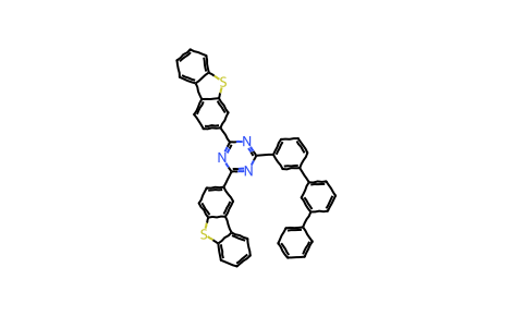 c1ccc(-c2cccc(-c3cccc(-c4nc(-c5ccc6c(c5)sc5ccccc56)nc(-c5ccc6sc7ccccc7c6c5)n4)c3)c2)cc1